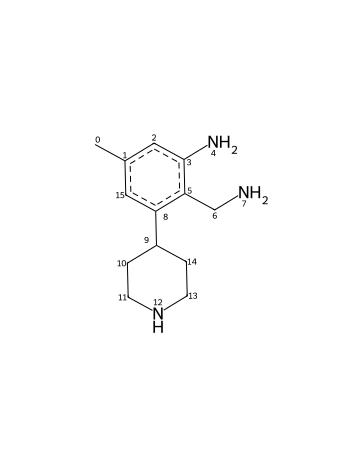 Cc1cc(N)c(CN)c(C2CCNCC2)c1